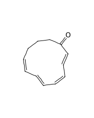 O=C1/C=C/C=C\C=C\C=C/CCC1